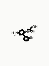 Nc1ccc(NCC(O)CO)c(-c2cccc(Br)c2)c1